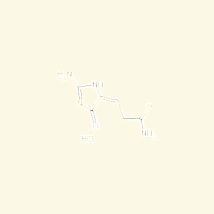 Cl.NC(=O)CC=C1NC(N)=NC1=O